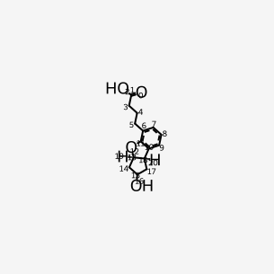 O=C(O)CCCc1cccc2c1O[C@H]1CC(O)C[C@@H]21